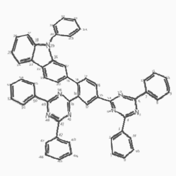 c1ccc(-c2nc(-c3ccccc3)nc(-c3ccc(-c4ccc5c6ccccc6n(-c6ccccc6)c5c4)c(-c4nc(-c5ccccc5)nc(-c5ccccc5)n4)c3)n2)cc1